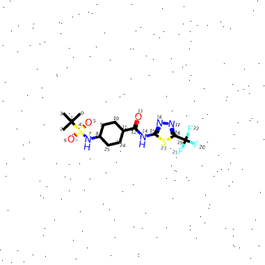 CC(C)(C)S(=O)(=O)NC1CCC(C(=O)Nc2nnc(C(F)(F)F)s2)CC1